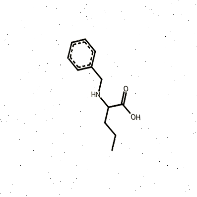 CCCC(NCc1ccccc1)C(=O)O